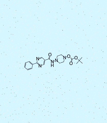 CC(C)(C)OC(=O)ON1CCN(NC(=O)c2cnc(-c3ccccc3)nc2)CC1